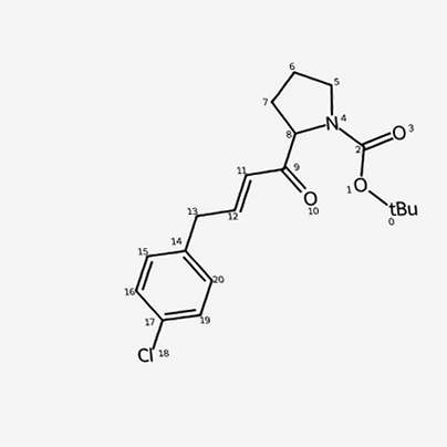 CC(C)(C)OC(=O)N1CCCC1C(=O)C=CCc1ccc(Cl)cc1